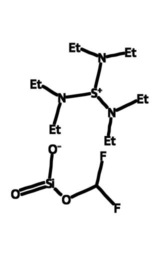 CCN(CC)[S+](N(CC)CC)N(CC)CC.O=[Si]([O-])OC(F)F